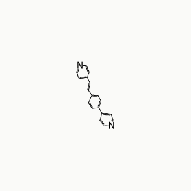 C(=C\c1ccc(-c2ccncc2)cc1)/c1ccncc1